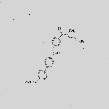 CCCCCCCCOc1ccc(-c2ccc(C(=O)Oc3ccc(C(=O)C(C)CCCC(C)C)cc3)cc2)cc1